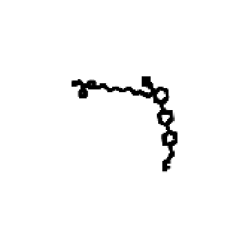 C=CC(=O)OCCCCCCCCCC1(C#N)CCCC(c2ccc(-c3ccc(CCCC)cc3)cc2)C1